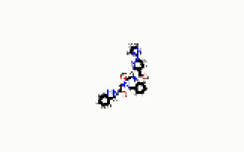 O=C(CN1Cc2ccccc2N(C(=O)c2ccc(-n3cccn3)nc2)CC1=O)NCc1ccccc1